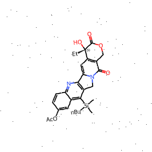 CCCC[Si](C)(C)c1c2c(nc3ccc(OC(C)=O)cc13)-c1cc3c(c(=O)n1C2)COC(=O)[C@]3(O)CC